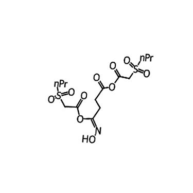 CCCS(=O)(=O)CC(=O)OC(=O)CC/C(=N/O)OC(=O)CS(=O)(=O)CCC